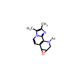 CC(=O)N1CC2OC2c2ccn3c(C)c(C)nc3c21